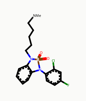 CNCCCCCN1c2ccccc2N(c2ccc(F)cc2Cl)S1(=O)=O